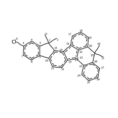 CC1(C)c2cc(Cl)ccc2-c2ccc3c(c21)c1cccc2c1n3-c1ccccc1C2(C)C